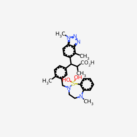 Cc1ccc(C(c2ccc3c(nnn3C)c2C)C(C)C(=O)O)cc1CN1CCN(C)c2ccccc2S1(O)O